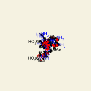 CCC(C)C(NC(=O)C(CCC(=O)O)NC(=O)C(C)NC(=O)C(C)NC(=O)C(C)NC(=O)C1CCCN1C(=O)CNC(=O)C1CCCN1C(=O)C(NC(=O)C1CCCN1C(=O)C(C)NC(=O)C(CC(C)C)NC(=O)C(CCC(=O)O)NC(=O)C(CCCNC(=N)N)NC(=O)C(Cc1ccc(O)cc1)NC(=O)C(CC(C)C)NC(=O)C(CC(N)=O)NC(=O)C(CC(N)=O)NC(=O)C(N)CCSC)C(C)CC)C(=O)O